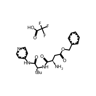 CC(C)(C)[C@H](NC(=O)[C@H](N)CC(=O)OCc1ccccc1)C(=O)Nc1ccncc1.O=C(O)C(F)(F)F